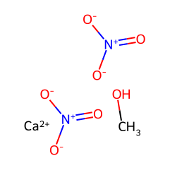 CO.O=[N+]([O-])[O-].O=[N+]([O-])[O-].[Ca+2]